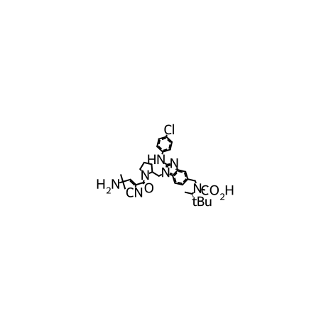 C[C@H](N(Cc1ccc2c(c1)nc(Nc1ccc(Cl)cc1)n2CC1CCCN1C(=O)C(C#N)=CC(C)(C)N)C(=O)O)C(C)(C)C